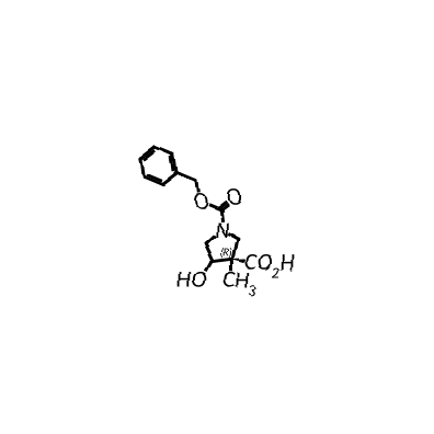 C[C@@]1(C(=O)O)CN(C(=O)OCc2ccccc2)CC1O